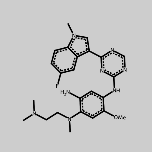 COc1cc(N(C)CCN(C)C)c(N)cc1Nc1ncnc(-c2cn(C)c3ccc(F)cc23)n1